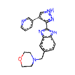 c1cncc(-c2c[nH]nc2-c2nc3cc(CN4CCOCC4)ccc3[nH]2)c1